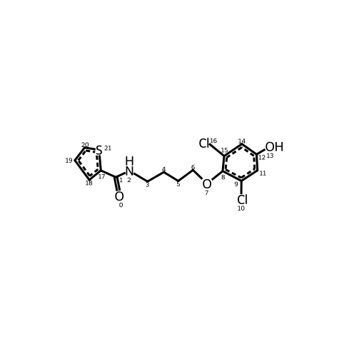 O=C(NCCCCOc1c(Cl)cc(O)cc1Cl)c1cccs1